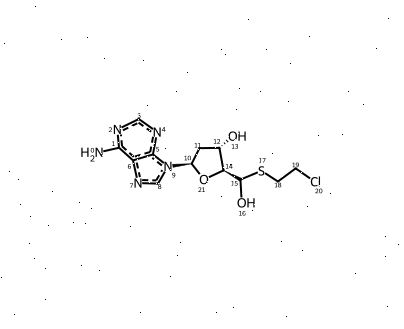 Nc1ncnc2c1ncn2[C@H]1C[C@H](O)[C@@H](C(O)SCCCl)O1